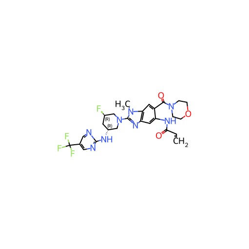 C=CC(=O)Nc1cc2nc(N3C[C@H](F)C[C@@H](Nc4ncc(C(F)(F)F)cn4)C3)n(C)c2cc1C(=O)N1CCOCC1